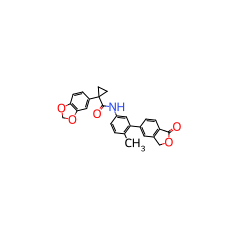 Cc1ccc(NC(=O)C2(c3ccc4c(c3)OCO4)CC2)cc1-c1ccc2c(c1)COC2=O